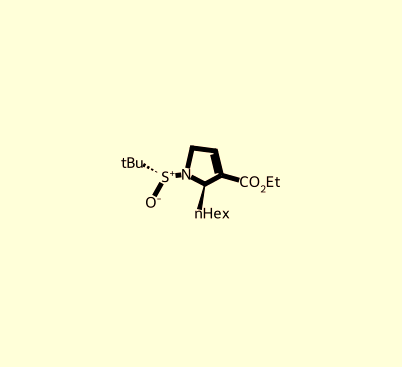 CCCCCC[C@@H]1C(C(=O)OCC)=CCN1[S@+]([O-])C(C)(C)C